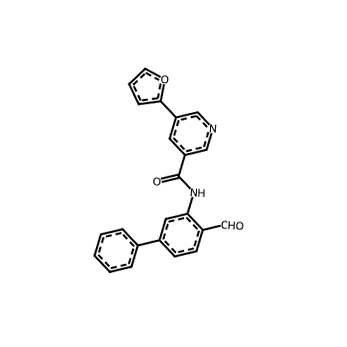 O=Cc1ccc(-c2ccccc2)cc1NC(=O)c1cncc(-c2ccco2)c1